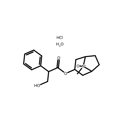 C[N+]1([O-])C2CCC1CC(OC(=O)C(CO)c1ccccc1)C2.Cl.O